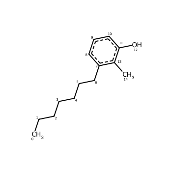 CCCCCCCc1cccc(O)c1C